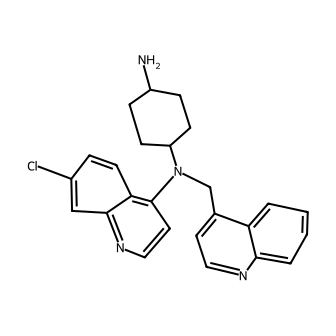 NC1CCC(N(Cc2ccnc3ccccc23)c2ccnc3cc(Cl)ccc23)CC1